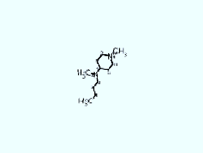 CCCCN(C)C1CCN(C)CC1